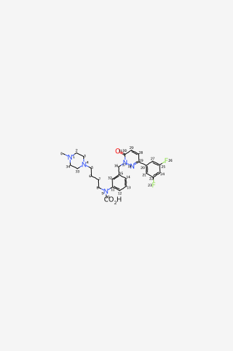 CN1CCN(CCCCN(C(=O)O)c2cccc(Cn3nc(-c4cc(F)cc(F)c4)ccc3=O)c2)CC1